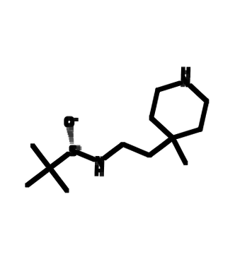 CC1(CCN[S@@+]([O-])C(C)(C)C)CCNCC1